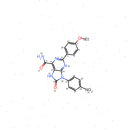 CCOc1ccc(-c2nc(C(N)=O)c3[nH]c(=O)n(-c4ccc([N+](=O)[O-])cc4)c3n2)cc1